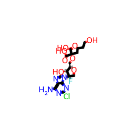 Nc1nc(Cl)nc2c1ncn2[C@@]1(F)CO[C@H](COC(CCCCO)(C(=O)O)C(=O)O)[C@H]1O